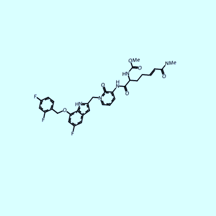 CNC(=O)C=CCCC(NC(=O)OC)C(=O)Nc1cccn(Cc2cc3cc(F)cc(OCc4ccc(F)cc4F)c3[nH]2)c1=O